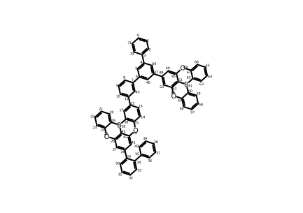 c1ccc(-c2cc(-c3cccc(-c4ccc5c(c4)B4c6ccccc6Oc6cc(-c7ccccc7-c7ccccc7)cc(c64)O5)c3)cc(-c3cc4c5c(c3)Oc3ccccc3B5c3ccccc3O4)c2)cc1